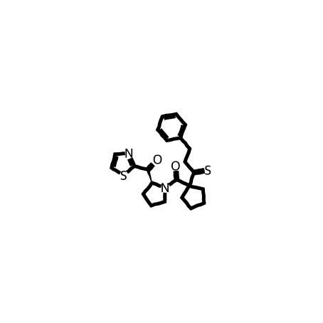 O=C(c1nccs1)[C@@H]1CCCN1C(=O)C1(C(=S)CCc2ccccc2)CCCC1